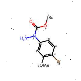 COc1cc(N(N)C(=O)OC(C)(C)C)ccc1Br